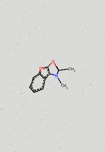 CC1Oc2oc3ccccc3c2N1C